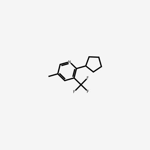 Cc1cnc(C2CCCC2)c(C(F)(F)F)c1